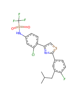 CC(C)Cc1cc(-c2nc(-c3ccc(NS(=O)(=O)C(F)(F)F)cc3Cl)cs2)ccc1F